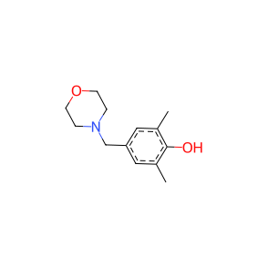 Cc1cc(CN2CCOCC2)cc(C)c1O